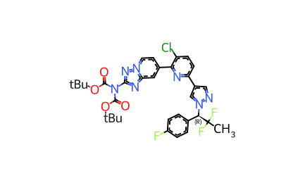 CC(C)(C)OC(=O)N(C(=O)OC(C)(C)C)c1nc2cc(-c3nc(-c4cnn([C@H](c5ccc(F)cc5)C(C)(F)F)c4)ccc3Cl)ccn2n1